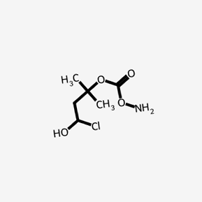 CC(C)(CC(O)Cl)OC(=O)ON